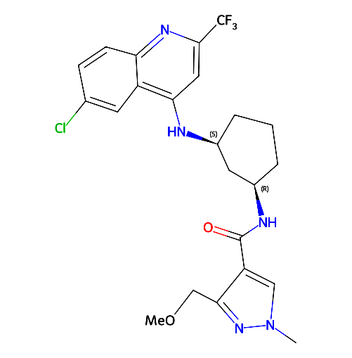 COCc1nn(C)cc1C(=O)N[C@@H]1CCC[C@H](Nc2cc(C(F)(F)F)nc3ccc(Cl)cc23)C1